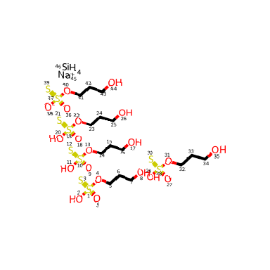 O=S(O)(=S)OCCCO.O=S(O)(=S)OCCCO.O=S(O)(=S)OCCCO.O=S(O)(=S)OCCCO.O=S([O-])(=S)OCCCO.[Na+].[SiH4]